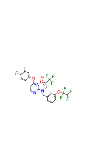 Cc1cc(Oc2ccnc(N(Cc3cccc(OC(F)(F)C(F)F)c3)C[C@@H](O)C(F)(F)F)n2)ccc1F